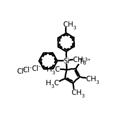 CC1=C(C)C(C)([Si](C)(c2ccccc2)c2ccc(C)cc2)[C]([Ti+3])=C1C.[Cl-].[Cl-].[Cl-]